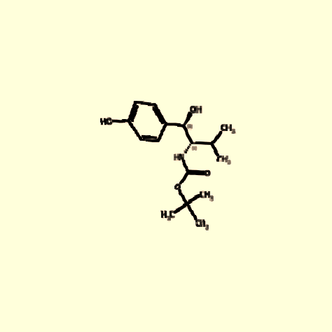 CC(C)[C@H](NC(=O)OC(C)(C)C)[C@H](O)c1ccc(O)cc1